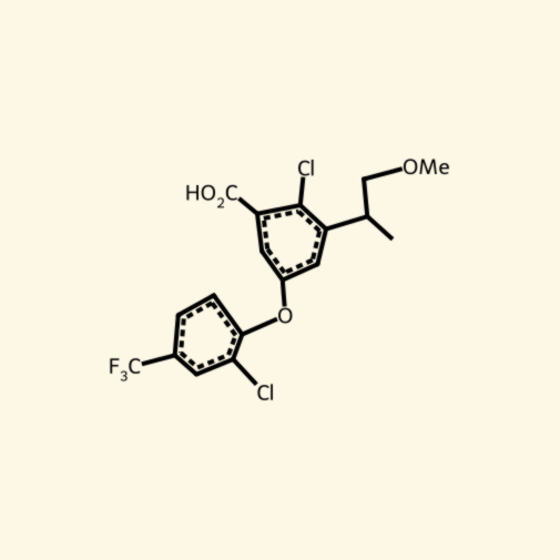 COCC(C)c1cc(Oc2ccc(C(F)(F)F)cc2Cl)cc(C(=O)O)c1Cl